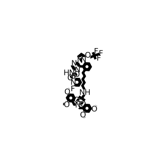 COc1ccc(CN(Cc2ccc(OC)cc2OC)S(=O)(=O)C(C)(C)CNCCCCCCc2ccccc2-c2nc(NS(=O)(=O)c3cccc(F)n3)cnc2-n2ccc(OCC(C)(C)C(F)(F)F)n2)c(OC)c1